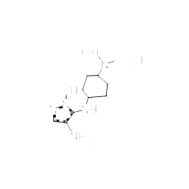 Cn1ncc(N)c1NC1CCC(N(C(=O)O)C(C)(C)C)CC1